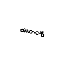 c1ccc2sc(SNC3CCC(CCN4CCN(c5nsc6ccccc56)CC4)CC3)cc2c1